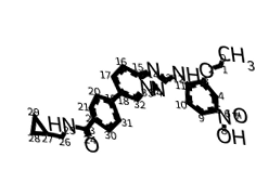 CCOc1cc([N+](=O)O)ccc1Nc1nc2ccc(-c3ccc(C(=O)NCC4CC4)cc3)cn2n1